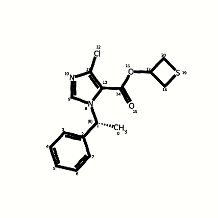 C[C@H](c1ccccc1)n1cnc(Cl)c1C(=O)OC1CSC1